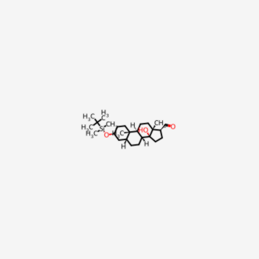 CC(C)(C)[Si](C)(C)O[C@H]1CC[C@@]2(C)[C@H](CC[C@@H]3[C@@H]2CC[C@]2(C)[C@@H](C=O)CC[C@]32O)C1